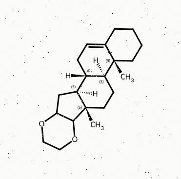 C[C@]12CCCCC1=CC[C@@H]1[C@@H]2CC[C@]2(C)C3OCCOC3C[C@@H]12